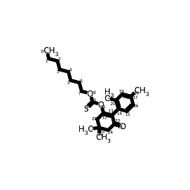 CCCCCCCCOC(=S)OC1=C(c2ccc(C)cc2C)C(=O)CC(C)(C)C1